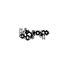 Cc1cc2cc(c1O)C1CN(CCCN1C1CCOCC1)C(=O)[C@H](OC(=O)N1CCC(N3CCc4ccccc4NC3=O)CC1)C2